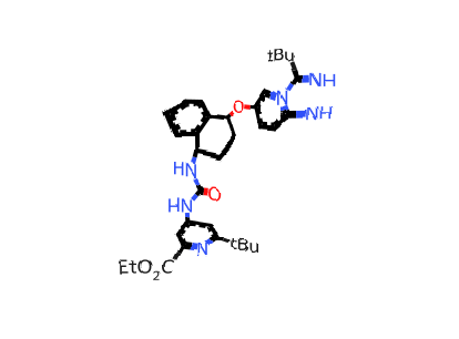 CCOC(=O)c1cc(NC(=O)NC2CCC(Oc3ccc(=N)n(C(=N)C(C)(C)C)c3)c3ccccc32)cc(C(C)(C)C)n1